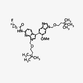 COc1cc2c(cc1-c1cn(COCC[Si](C)(C)C)c3nc(NC(=O)[C@@H]4C[C@@H]4F)ccc13)ncn2COCC[Si](C)(C)C